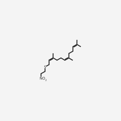 CC(C)=CCCC(C)=CCCC(C)=CCSCC[N+](=O)[O-]